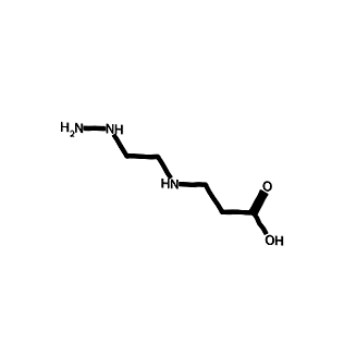 NNCCNCCC(=O)O